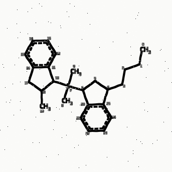 CCCCC1CC(S(C)(C)C2c3ccccc3CC2C)c2ccccc21